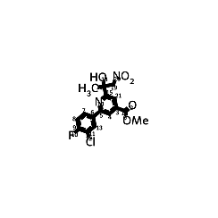 COC(=O)c1cc(-c2ccc(F)c(Cl)c2)nc(C(C)(O)C[N+](=O)[O-])c1